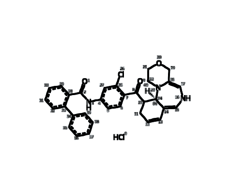 Cl.O=C(Nc1ccc(C(=O)C2CC=CC3=CNC=C4COCCN4[C@@H]32)c(Cl)c1)c1ccccc1-c1ccccc1